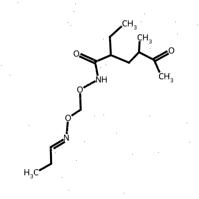 CC/C=N/OCONC(=O)C(CC)CC(C)C(C)=O